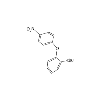 CC(C)(C)c1ccccc1Oc1ccc([N+](=O)[O-])cc1